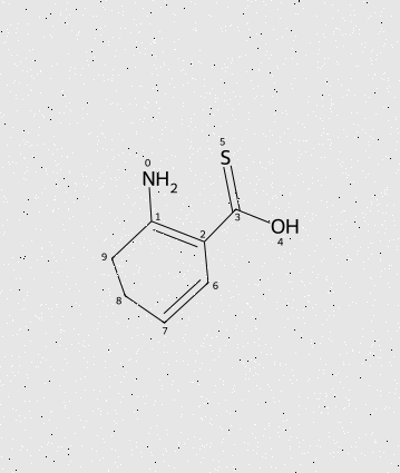 NC1=C(C(O)=S)C=CCC1